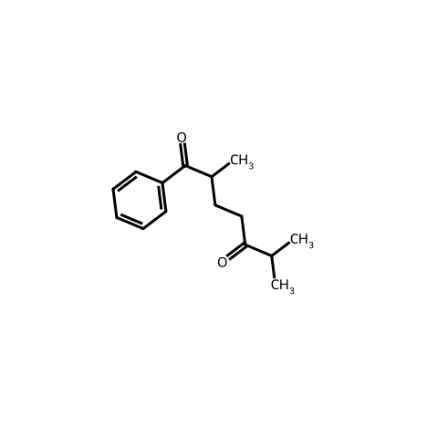 CC(C)C(=O)CCC(C)C(=O)c1ccccc1